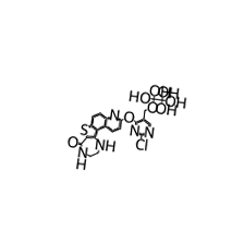 O=C1NCCNc2c1sc1ccc3nc(Oc4nc(Cl)ncc4COC(O)(O)C(O)(O)O)ccc3c21